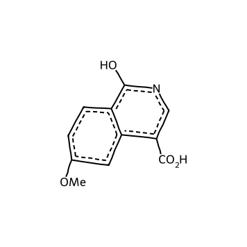 COc1ccc2c(O)ncc(C(=O)O)c2c1